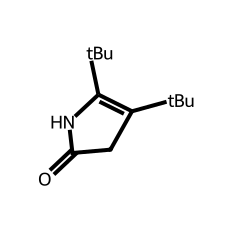 CC(C)(C)C1=C(C(C)(C)C)NC(=O)C1